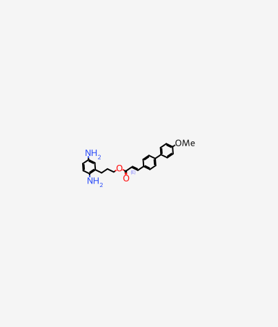 COc1ccc(-c2ccc(/C=C/C(=O)OCCCc3cc(N)ccc3N)cc2)cc1